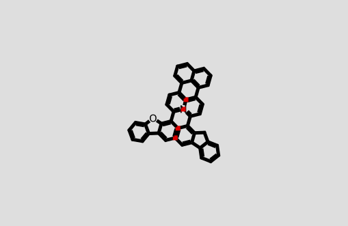 c1ccc2c(c1)Cc1c(-c3ccc(-c4cccc5cccc(-c6ccc(-c7cccc8c7oc7ccccc78)nc6)c45)cn3)cccc1-2